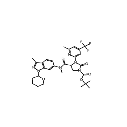 Cc1cc(C(F)(F)F)cc(N2C(=O)N(C(=O)OC(C)(C)C)C[C@H]2C(=O)N(C)c2ccc3c(C)nn(C4CCCCO4)c3c2)n1